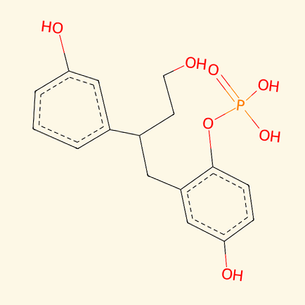 O=P(O)(O)Oc1ccc(O)cc1CC(CCO)c1cccc(O)c1